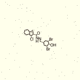 O=C(NN=Cc1cc(Br)c(O)c(Br)c1)c1sc2ccccc2c1Cl